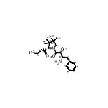 CC(C)CNC(=O)[C@H]1N(C(=O)[C@@H](O)[C@@H](N)Cc2ccccc2)CC(F)(F)C1(C)C